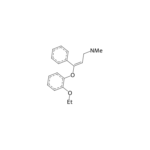 CCOc1ccccc1O/C(=C/CNC)c1ccccc1